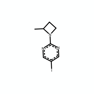 CC1CCN1c1ncc(I)cn1